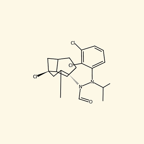 CC1C[C@]2(Cl)CC3CC(CC32)[C@@H]1N(C=O)N(c1cccc(Cl)c1Cl)C(C)C